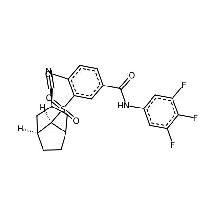 N#C[C@H]1CC2CC[C@@H](C1)[C@H]2S(=O)(=O)c1cc(C(=O)Nc2cc(F)c(F)c(F)c2)ccc1Cl